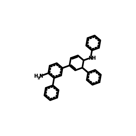 Nc1ccc(C2=CC(c3ccccc3)C(Nc3ccccc3)C=C2)cc1-c1ccccc1